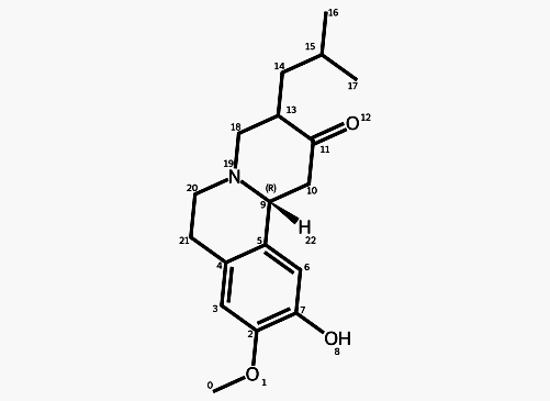 COc1cc2c(cc1O)[C@H]1CC(=O)C(CC(C)C)CN1CC2